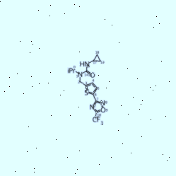 CC(C)N(Cc1ccc(-c2noc(C(F)(F)F)n2)s1)C(=O)NC1CC1